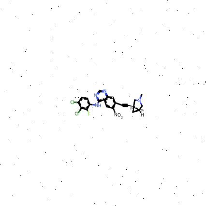 CN1C[C@@H]2C[C@]2(C#Cc2cc3ncnc(Nc4ccc(Cl)c(Cl)c4F)c3cc2[N+](=O)[O-])C1